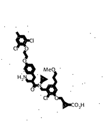 COCCCc1cc(CN(C(=O)C(CN)Cc2ccc(OCCOc3c(Cl)cc(C)cc3Cl)cc2)C2CC2)c(Cl)c(OCC2CC2C(=O)O)c1